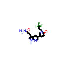 NC(=O)C=Cc1c[nH]c2ncc(-c3ccc(=O)n(CCC(F)(F)F)c3)cc12